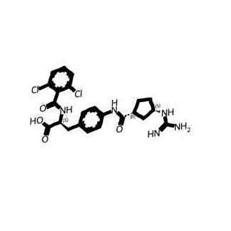 N=C(N)N[C@H]1CC[C@@H](C(=O)Nc2ccc(C[C@H](NC(=O)c3c(Cl)cccc3Cl)C(=O)O)cc2)C1